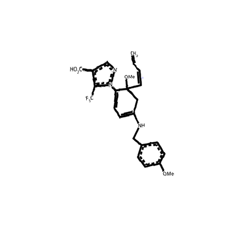 C=C/C=C\C1(OC)CC(NCc2ccc(OC)cc2)=CC=C1n1ncc(C(=O)O)c1C(F)(F)F